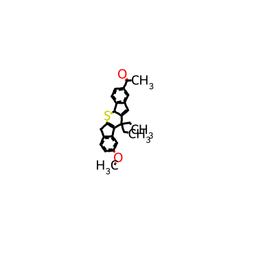 CCC1(CC)C2=Cc3cc(C(C)=O)ccc3C2SC2=C1c1cc(OC)ccc1C2